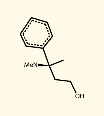 CN[C@@](C)(CCO)c1ccccc1